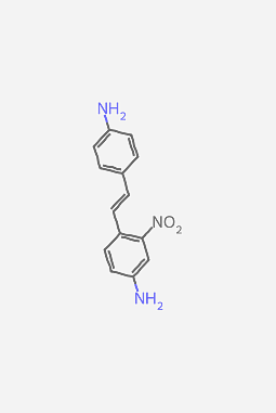 Nc1ccc(C=Cc2ccc(N)cc2[N+](=O)[O-])cc1